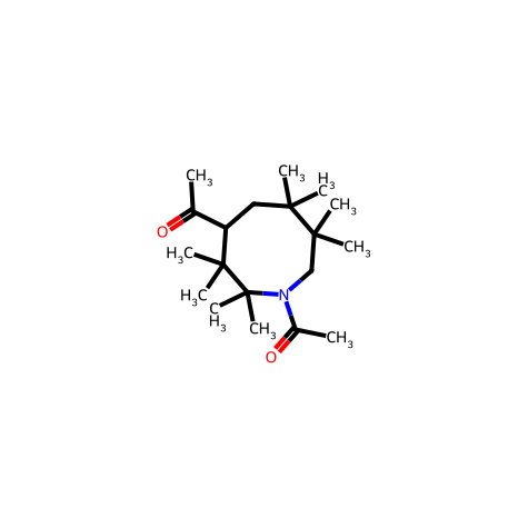 CC(=O)C1CC(C)(C)C(C)(C)CN(C(C)=O)C(C)(C)C1(C)C